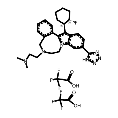 CN(C)CCN1CCn2c(c([C@H]3CCCC[C@@H]3F)c3ccc(-c4nnn[nH]4)cc32)-c2ccccc2C1.O=C(O)C(F)(F)F.O=C(O)C(F)(F)F